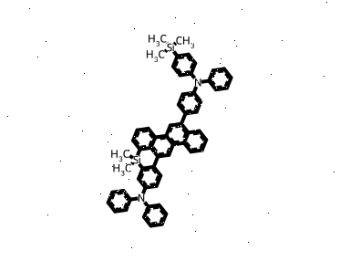 C[Si](C)(C)c1ccc(N(c2ccccc2)c2ccc(-c3cc4c5cccc6c5c(cc4c4ccccc34)-c3ccc(N(c4ccccc4)c4ccccc4)cc3[Si]6(C)C)cc2)cc1